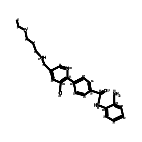 CCOCCCNCc1cnc(-c2ccc(C(=O)Nc3ccccc3N)cc2)c(Cl)c1